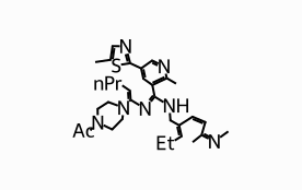 CC/C=C(/C=C\C(C)=N/C)CN/C(=N/C(=C/CCC)N1CCN(C(C)=O)CC1)c1cc(-c2ncc(C)s2)cnc1C